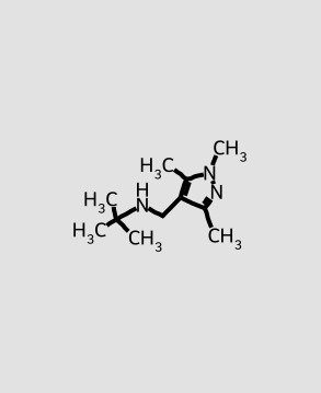 Cc1nn(C)c(C)c1CNC(C)(C)C